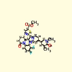 COC(=O)c1cnc(-c2c([C@@H]3CCCC(=O)N3c3ccc(F)c(F)c3)nc3cc(-c4cc(C)c(=O)n(C)c4)ccn23)s1